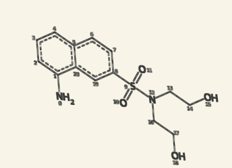 Nc1cccc2ccc(S(=O)(=O)N(CCO)CCO)cc12